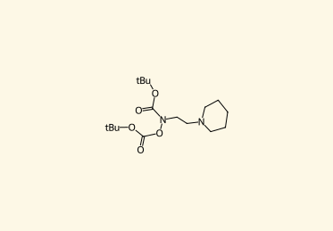 CC(C)(C)OC(=O)ON(CCN1CCCCC1)C(=O)OC(C)(C)C